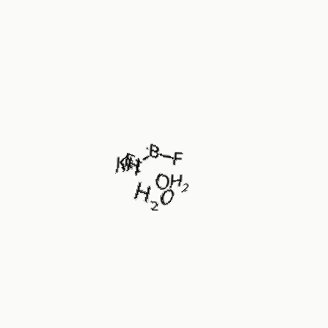 CC[B]F.O.O.[KH]